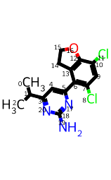 CC(C)c1cc(-c2c(Cl)cc(Cl)c3c2CCO3)nc(N)n1